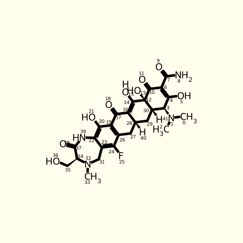 CN(C)[C@@H]1C(O)=C(C(N)=O)C(=O)[C@@]2(O)C(O)=C3C(=O)c4c(O)c5c(c(F)c4C[C@H]3C[C@@H]12)CN(C)[C@@H](CO)C(=O)N5